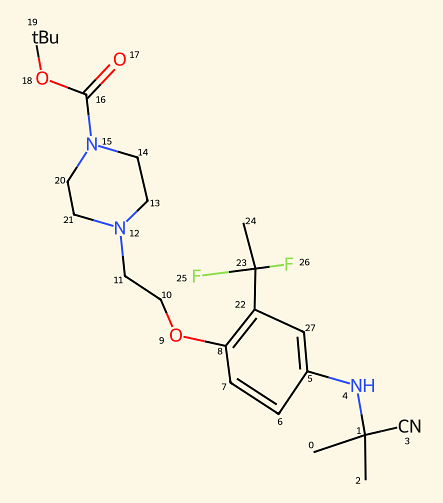 CC(C)(C#N)Nc1ccc(OCCN2CCN(C(=O)OC(C)(C)C)CC2)c(C(C)(F)F)c1